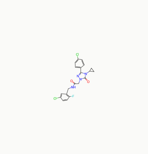 O=C(Cn1nc(-c2ccc(Cl)cc2)n(C2CC2)c1=O)NCc1cc(Cl)ccc1F